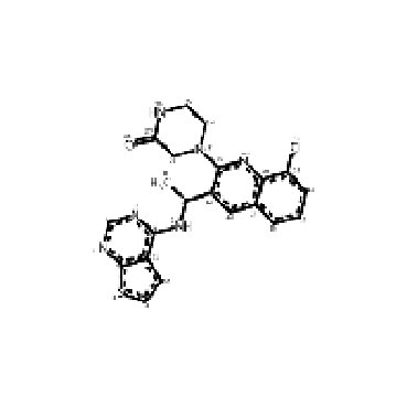 C[C@H](Nc1ncnc2sccc12)c1cc2cccc(Cl)c2nc1N1CCNC(=O)C1